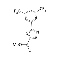 COC(=O)c1cnc(-c2cc(C(F)(F)F)cc(C(F)(F)F)c2)s1